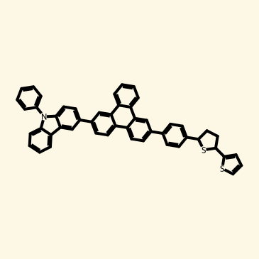 c1ccc(-n2c3ccccc3c3cc(-c4ccc5c6ccc(-c7ccc(C8CCC(c9cccs9)S8)cc7)cc6c6ccccc6c5c4)ccc32)cc1